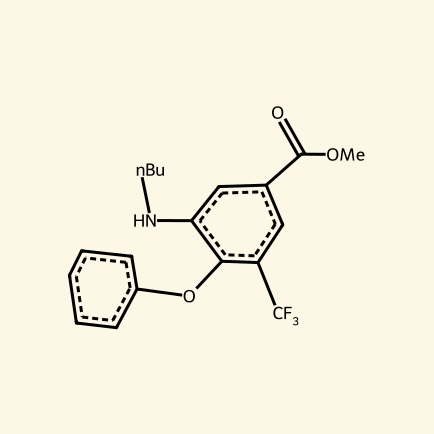 CCCCNc1cc(C(=O)OC)cc(C(F)(F)F)c1Oc1ccccc1